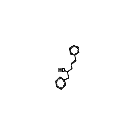 OC(CC=Cc1ccccc1)Cc1ccccc1